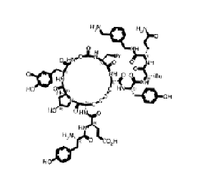 CCC(C)[C@H](NC(=O)[C@H](Cc1ccc(O)cc1)NC(=O)[C@@H]1CSSC[C@H](NC(=O)[C@@H](CCC(=O)O)NC(=O)[C@@H](N)Cc2ccc(O)cc2)C(=O)N2C[C@H](O)C[C@H]2C(=O)N[C@@H](Cc2ccc(O)c(Cl)c2)C(=O)NCC(=O)N[C@@H](CC(C)C)C(=O)N1)C(=O)N[C@@H](CCC(N)=O)C(=O)NCc1cccc(CN)c1